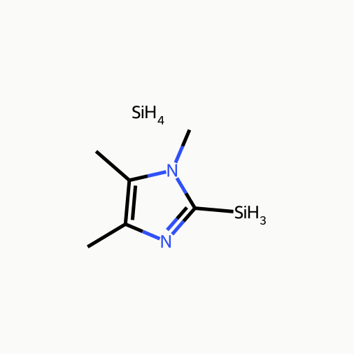 Cc1nc([SiH3])n(C)c1C.[SiH4]